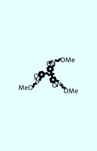 COCCCN1COc2ccc(CCC(C)(c3ccc4c(c3)CN(CCCOC)CO4)c3ccc4c(c3)CN(CCCOC)CO4)cc2C1